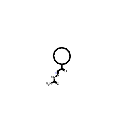 NC(=O)N/N=C/C(=O)C1CCCCCCCCCCC1